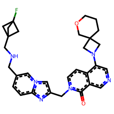 O=c1c2cncc(N3CC4(CCCOC4)C3)c2ccn1Cc1cn2cc(CNCC34CC(F)(C3)C4)ccc2n1